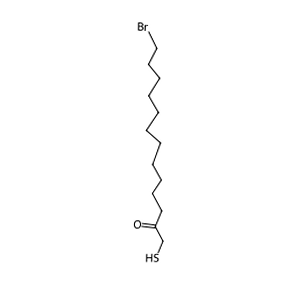 O=C(CS)CCCCCCCCCCCBr